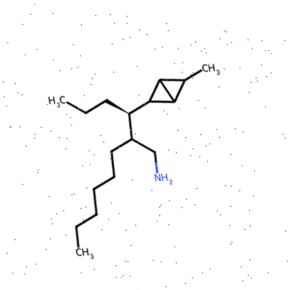 CCCCCCC(CN)[C@@H](CCC)C1C2C(C)C21